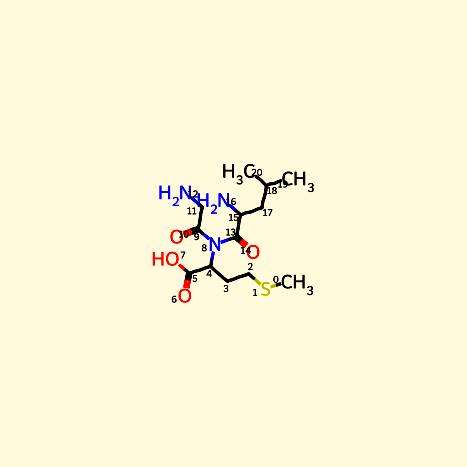 CSCCC(C(=O)O)N(C(=O)CN)C(=O)C(N)CC(C)C